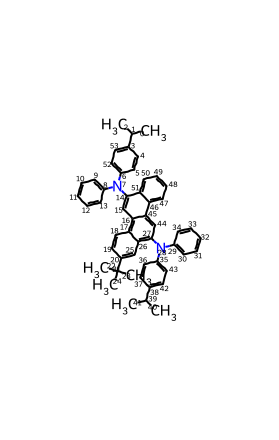 CC(C)c1ccc(N(c2ccccc2)c2cc3c4ccc(C(C)(C)C)cc4c(N(c4ccccc4)c4ccc(C(C)C)cc4)cc3c3ccccc23)cc1